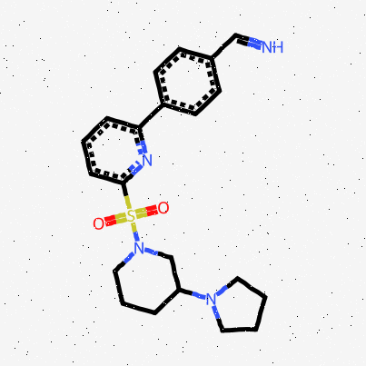 N=Cc1ccc(-c2cccc(S(=O)(=O)N3CCCC(N4CCCC4)C3)n2)cc1